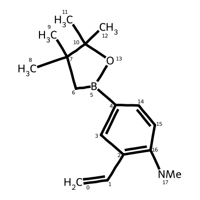 C=Cc1cc(B2CC(C)(C)C(C)(C)O2)ccc1NC